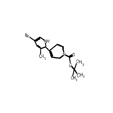 CC1=CC(Br)=CNC1C1=CCN(C(=O)OC(C)(C)C)CC1